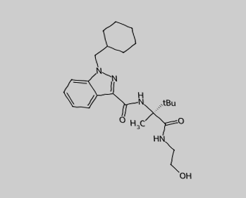 CC(C)(C)[C@](C)(NC(=O)c1nn(CC2CCCCC2)c2ccccc12)C(=O)NCCO